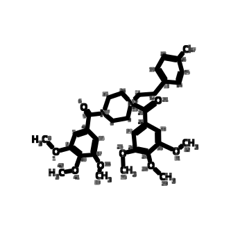 COc1cc(C(=O)N2CC[N+](CCc3ccc(Cl)cc3)(C(=O)c3cc(OC)c(OC)c(OC)c3)CC2)cc(OC)c1OC